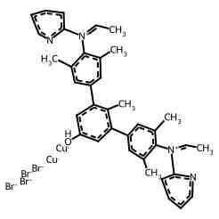 CC=[N+](c1ccccn1)c1c(C)cc(-c2cc(O)cc(-c3cc(C)c([N+](=CC)c4ccccn4)c(C)c3)c2C)cc1C.[Br-].[Br-].[Br-].[Br-].[Cu].[Cu]